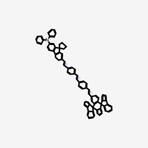 C1=C(/C=C/c2ccc(/C=C/c3ccc(/C=C/c4ccc5c(c4)C4(c6ccccc6-c6ccccc64)c4ccccc4C54c5ccccc5-c5ccccc54)cc3)cc2)CCC2=C1C1(CCCC1)c1cc(N(c3ccccc3)c3ccccc3)ccc12